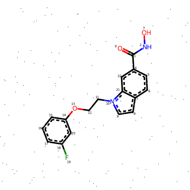 O=C(NO)c1ccc2ccn(CCOc3cccc(F)c3)c2c1